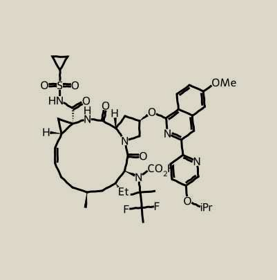 CC[C@@H]1C[C@@H](C)CC/C=C\[C@@H]2C[C@@]2(C(=O)NS(=O)(=O)C2CC2)NC(=O)[C@@H]2C[C@@H](Oc3nc(-c4ccc(OC(C)C)cn4)cc4cc(OC)ccc34)CN2C(=O)[C@H]1N(C(=O)O)C(C)(C)C(C)(F)F